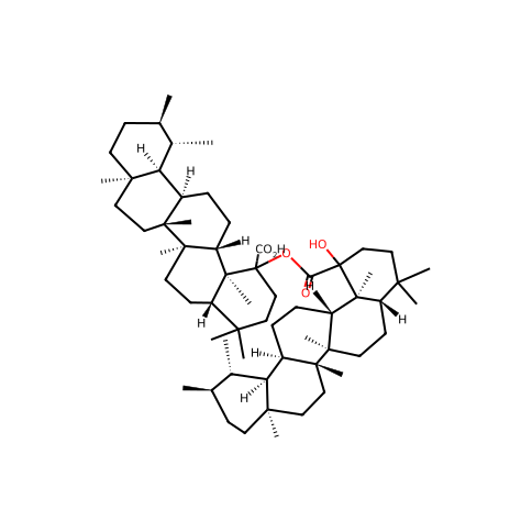 C[C@@H]1[C@H]2[C@H]3CC[C@@H]4[C@]5(C)[C@@H](CC[C@@]4(C)[C@]3(C)CC[C@@]2(C)CC[C@H]1C)C(C)(C)CCC5(O)C(=O)OC1(C(=O)O)CCC(C)(C)[C@@H]2CC[C@]3(C)[C@H](CC[C@@H]4[C@@H]5[C@@H](C)[C@H](C)CC[C@]5(C)CC[C@]43C)[C@]21C